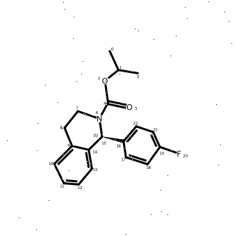 CC(C)OC(=O)N1CCc2ccccc2[C@@H]1c1ccc(F)cc1